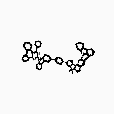 CC1(C)c2cc(-c3ccc(-c4ccc5c(c4)c4ccccc4n5-c4nc(-c5ccccc5)c5c6ccccc6c6ccccc6c5n4)cc3)ccc2-c2c1ccc1cc3c4cccc5c6ccccc6n(c3cc21)c54